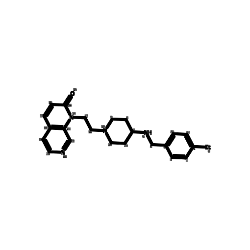 CCc1ccc(CNC2CCN(CCn3c(=O)ccc4ccncc43)CC2)cc1